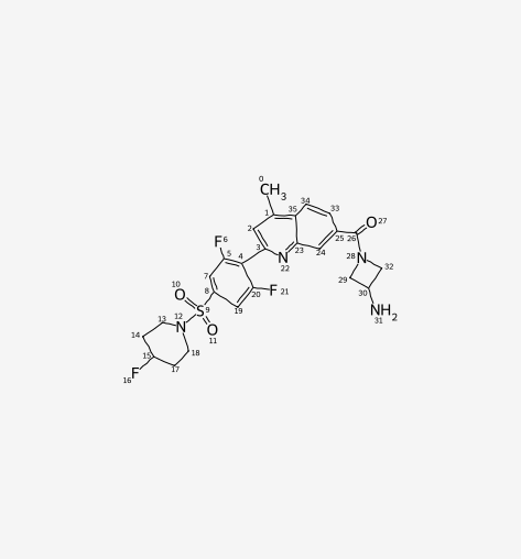 Cc1cc(-c2c(F)cc(S(=O)(=O)N3CCC(F)CC3)cc2F)nc2cc(C(=O)N3CC(N)C3)ccc12